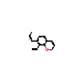 C=Cc1c(/C=C\C)ccc2c1OCC=C2